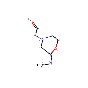 CNC1CN(CC=O)CCO1